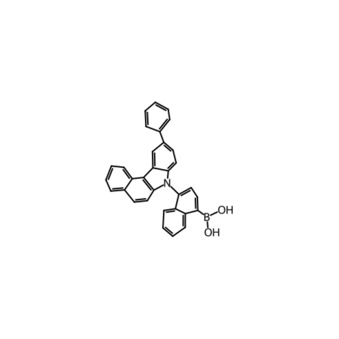 OB(O)c1ccc(-n2c3ccc(-c4ccccc4)cc3c3c4ccccc4ccc32)c2ccccc12